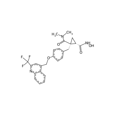 CN(C)C(=O)[C@@]1(Cc2ccc(OCc3cc(C(F)(F)F)nc4ccccc34)cc2)C[C@@H]1C(=O)NO